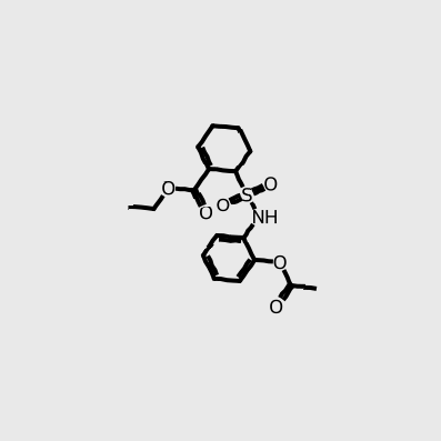 CCOC(=O)C1=CCCCC1S(=O)(=O)Nc1ccccc1OC(C)=O